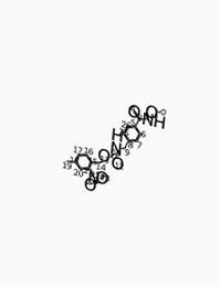 CONC(=O)c1ccc(CNC(=O)OCc2ccc(C)cc2[N+](=O)[O-])cc1